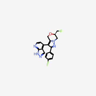 FC[C@H]1Cn2nc(-c3ccc(F)cc3)c(-c3ccnc4[nH]ncc34)c2CO1